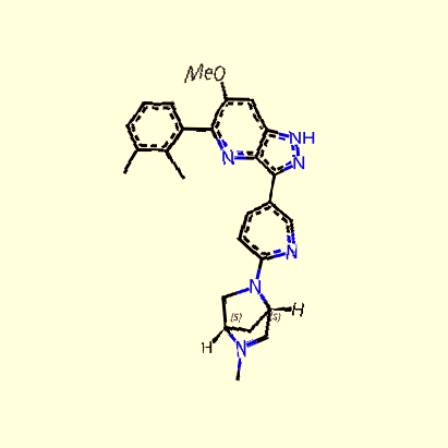 COc1cc2[nH]nc(-c3ccc(N4C[C@@H]5C[C@H]4CN5C)nc3)c2nc1-c1cccc(C)c1C